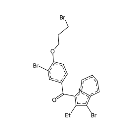 CCc1c(Br)c2ccccn2c1C(=O)c1ccc(OCCCBr)c(Br)c1